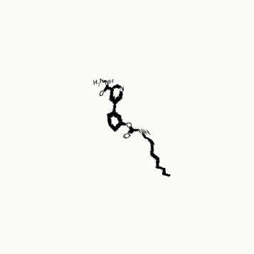 CCCCCCCCNC(=O)Oc1cccc(-c2cncc(C(=O)NN)c2)c1